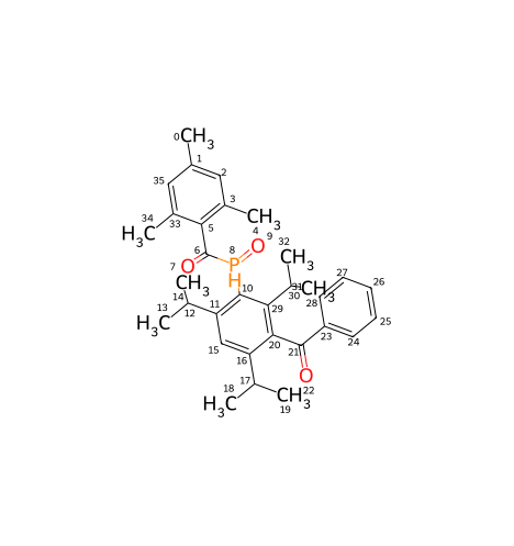 Cc1cc(C)c(C(=O)[PH](=O)c2c(C(C)C)cc(C(C)C)c(C(=O)c3ccccc3)c2C(C)C)c(C)c1